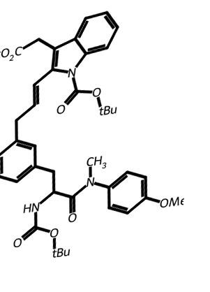 CCOC(=O)Cc1c(C=CCc2cccc(CC(NC(=O)OC(C)(C)C)C(=O)N(C)c3ccc(OC)cc3)c2)n(C(=O)OC(C)(C)C)c2ccccc12